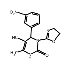 CC1=C(C#N)C(c2cccc([N+](=O)[O-])c2)N(C2=NCCO2)C(=O)N1